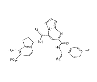 Cc1c(C(=O)O)ccc2c1CC[C@@H]2NC(=O)c1cc(C(=O)N[C@H](C)c2ccc(F)cc2)nc2ccnn12